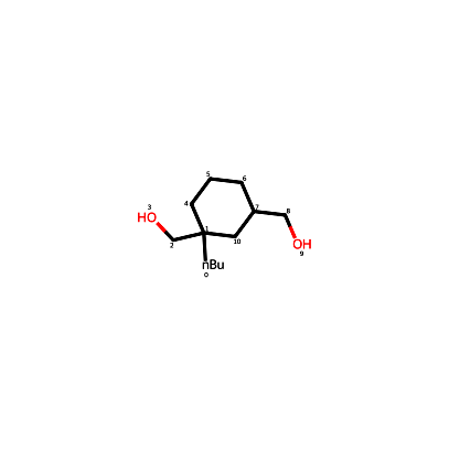 CCCCC1(CO)CCCC(CO)C1